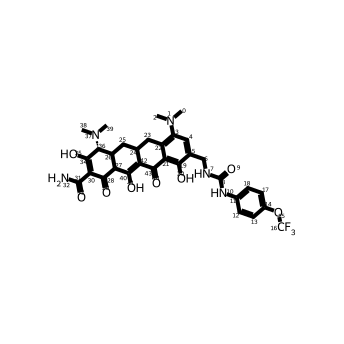 CN(C)c1cc(CNC(=O)Nc2ccc(OC(F)(F)F)cc2)c(O)c2c1CC1CC3C(C(=O)C(C(N)=O)=C(O)[C@@H]3N(C)C)C(O)=C1C2=O